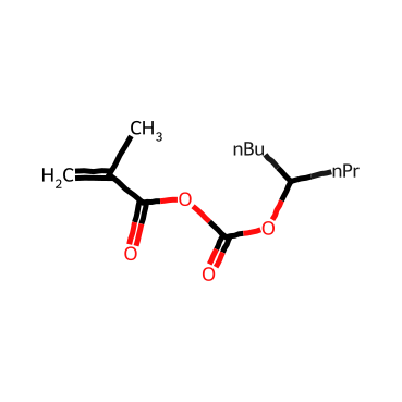 C=C(C)C(=O)OC(=O)OC(CCC)CCCC